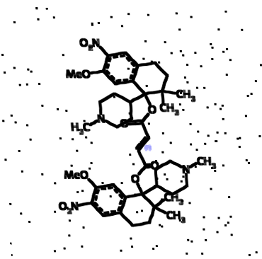 COc1cc2c(cc1[N+](=O)[O-])CCC(C)(C)C2(OC(=O)/C=C/C(=O)OC1(C2CCN(C)CC2)c2cc(OC)c([N+](=O)[O-])cc2CCC1(C)C)C1CCN(C)CC1